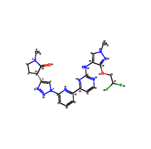 CN1CC[C@@H](c2cn(-c3cccc(-c4ccnc(Nc5cn(C)nc5OCC(F)F)n4)n3)nn2)C1=O